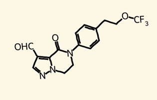 O=Cc1cnn2c1C(=O)N(c1ccc(CCOC(F)(F)F)cc1)CC2